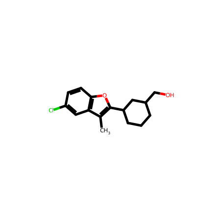 Cc1c(C2CCCC(CO)C2)oc2ccc(Cl)cc12